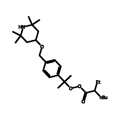 CCCCC(CC)C(=O)OOC(C)(C)c1ccc(COC2CC(C)(C)NC(C)(C)C2)cc1